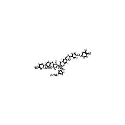 COC(=O)C(Cc1ccc(-c2ccc(C#N)cc2)cc1)NC(=O)C1Cc2cc3c(cc2CN1S(=O)(=O)c1cnc(NC(C)=O)s1)OC(c1ccc(OCc2ccc(Cl)c(Cl)c2)cc1)CO3